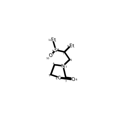 CCC(CN1CCCC1=O)[S+]([O-])CC